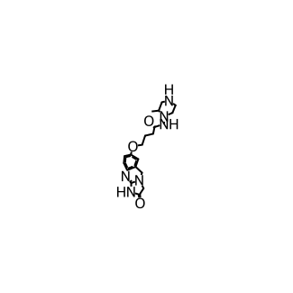 CC1CNCCN1NC(=O)CCCOc1ccc2c(c1)CN1CC(=O)NC1=N2